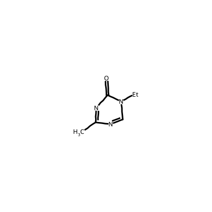 CCn1cnc(C)nc1=O